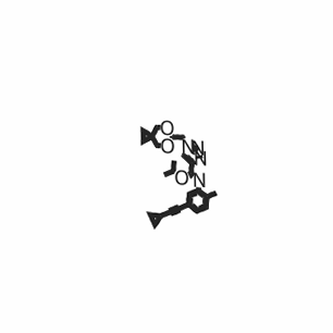 Cc1ccc(C#CC2CC2)cc1/N=C(\OC(C)C)c1cn(CC2OCC3(CC3)CO2)nn1